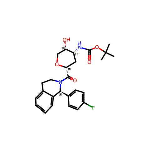 CC(C)(C)OC(=O)N[C@@H]1C[C@H](C(=O)N2CCc3ccccc3[C@@H]2c2ccc(F)cc2)OC[C@@H]1O